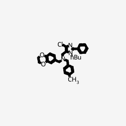 CCCCn1c(-c2ccccc2)nc(Cl)c1CN(Cc1ccc(C)cc1)Cc1ccc2c(c1)OCCO2